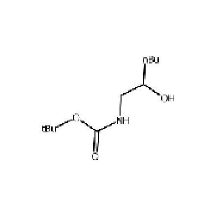 CCCCC(O)CNC(=O)OC(C)(C)C